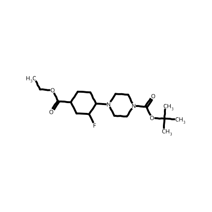 CCOC(=O)C1CCC(N2CCN(C(=O)OC(C)(C)C)CC2)C(F)C1